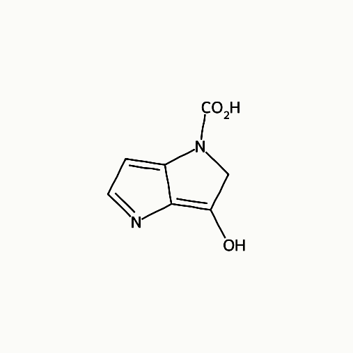 O=C(O)N1CC(O)=C2N=CC=C21